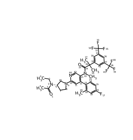 CCN(C(C)=O)[C@H]1CCN(c2cc(-c3ccc(F)cc3C)c(N(C)C(=O)C(C)(C)c3cc(C(F)(F)F)cc(C(F)(F)F)c3)cn2)C1